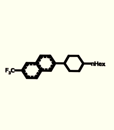 CCCCCCC1CCC(c2ccc3cc(C(F)(F)F)ccc3c2)CC1